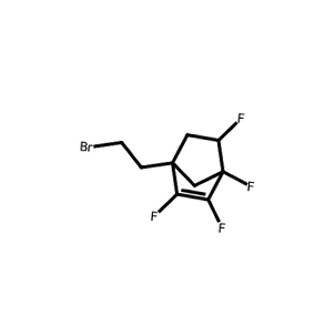 FC1=C(F)C2(F)CC1(CCBr)CC2F